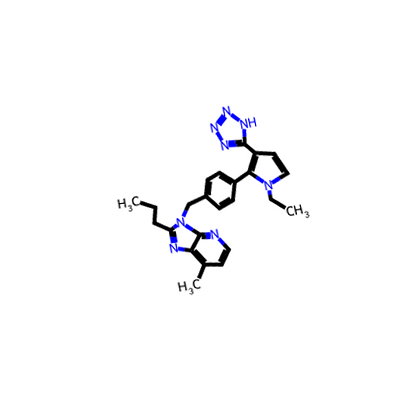 CCCc1nc2c(C)ccnc2n1Cc1ccc(-c2c(-c3nnn[nH]3)ccn2CC)cc1